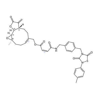 C=C1C(=O)O[C@H]2[C@H]1CC/C(COC(=O)/C=C\C(=O)NCc1ccc(Cn3c(=O)sn(-c4ccc(C)cc4)c3=O)cc1)=C\CC[C@@]1(C)O[C@@H]21